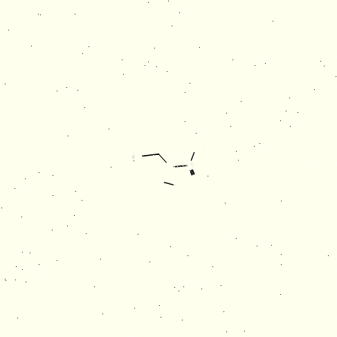 CC.CC(C)CO[PH](=O)O